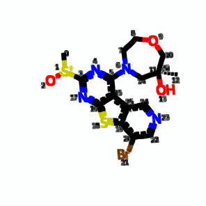 C[S+]([O-])c1nc(N2CCOC[C@@](C)(O)C2)c2c(n1)sc1c(Br)cncc12